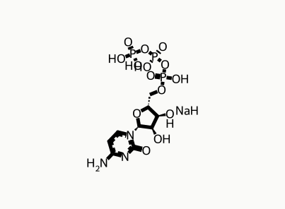 Nc1ccn([C@@H]2O[C@H](COP(=O)(O)OP(=O)(O)OP(=O)(O)O)[C@@H](O)[C@H]2O)c(=O)n1.[NaH]